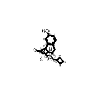 CC[C@@H]1[C@H]2[C@H]3Cc4ccc(O)cc4[C@@]2(CCN3CC2CCC2)CC(=O)[C@H]1C